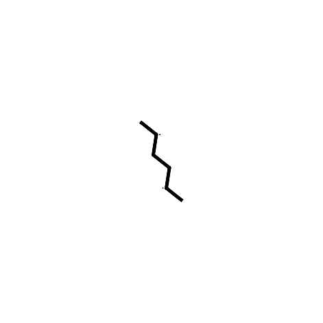 C[CH]CC[CH]C